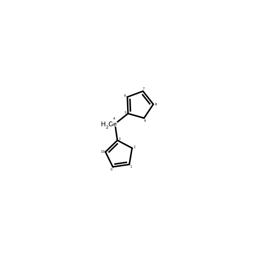 C1=CC[C]([GeH2][C]2=CC=CC2)=C1